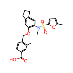 Cc1ccc(S(=O)(=O)N(C)c2cc3c(cc2OCc2ccc(C(=O)O)cc2C)CCC3)o1